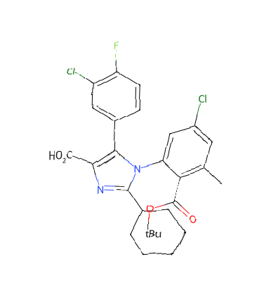 Cc1cc(Cl)cc(-n2c(C3CCCCC3)nc(C(=O)O)c2-c2ccc(F)c(Cl)c2)c1C(=O)OC(C)(C)C